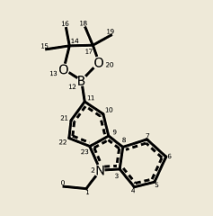 CCn1c2ccccc2c2cc(B3OC(C)(C)C(C)(C)O3)ccc21